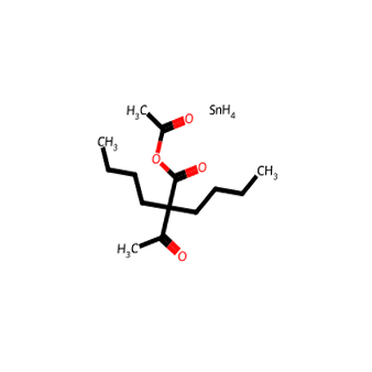 CCCCC(CCCC)(C(C)=O)C(=O)OC(C)=O.[SnH4]